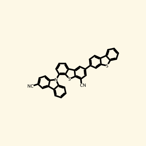 N#Cc1ccc2c(c1)c1ccccc1n2-c1cccc2c1sc1c(C#N)cc(-c3ccc4c(c3)sc3ccccc34)cc12